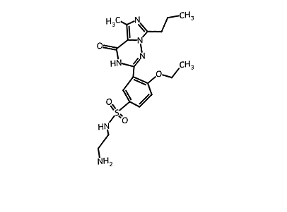 CCCc1nc(C)c2c(=O)[nH]c(-c3cc(S(=O)(=O)NCCN)ccc3OCC)nn12